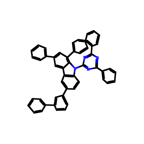 c1ccc(-c2cccc(-c3ccc4c(c3)c3cc(-c5ccccc5)cc(-c5ccccc5)c3n4-c3nc(-c4ccccc4)nc(-c4ccccc4)n3)c2)cc1